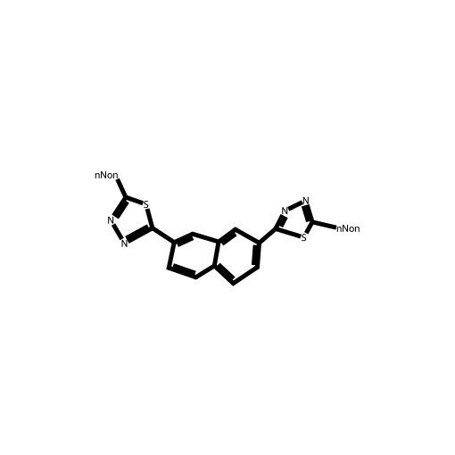 CCCCCCCCCc1nnc(-c2ccc3ccc(-c4nnc(CCCCCCCCC)s4)cc3c2)s1